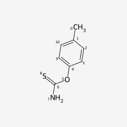 Cc1ccc(OC(N)=S)cc1